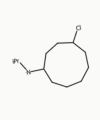 CC(C)[N]C1CCCCCC(Cl)CC1